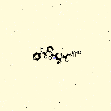 C/C(=C\[C@H](C(C)C)N(C)C(=O)CNC=O)C(=O)N1CCC[C@H]1C(=O)Nc1ccncc1